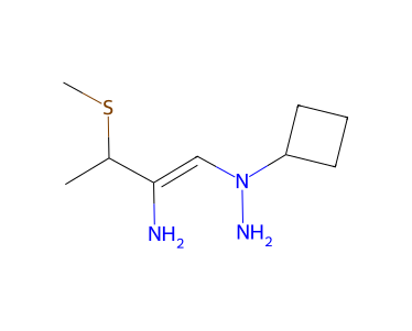 CSC(C)/C(N)=C/N(N)C1CCC1